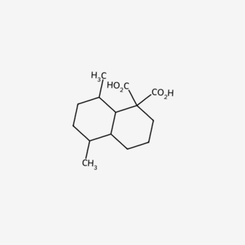 CC1CCC(C)C2C1CCCC2(C(=O)O)C(=O)O